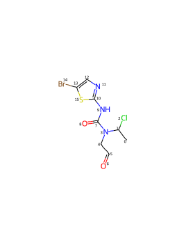 CC(Cl)N(CC=O)C(=O)Nc1ncc(Br)s1